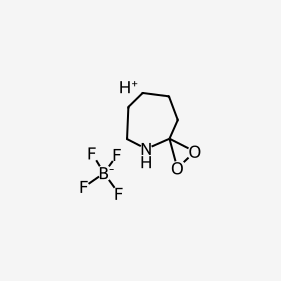 C1CCNC2(CC1)OO2.F[B-](F)(F)F.[H+]